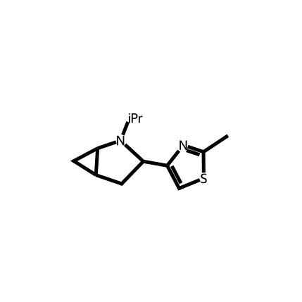 Cc1nc(C2CC3CC3N2C(C)C)cs1